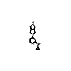 c1cc(N2Cc3c[nH]nc3C2)nc(NC2CC2)n1